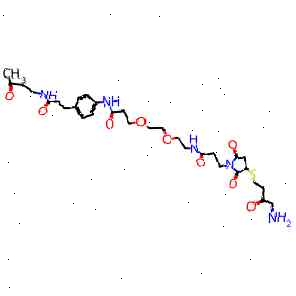 CC(=O)CCNC(=O)CCc1ccc(NC(=O)CCOCCOCCNC(=O)CCN2C(=O)CC(SCCC(=O)CN)C2=O)cc1